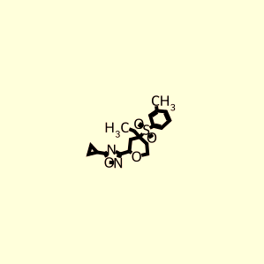 CCC1(S(=O)(=O)c2cccc(C)c2)CCOC(c2noc(C3CC3)n2)C1